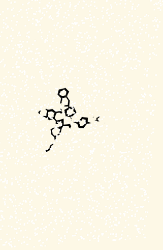 C=CCOC1CCn2c(-c3cc4c(cc3C(=O)N3Cc5ccccc5C[C@H]3C)OCO4)cc(C(=O)N(c3ccccc3)c3ccc(O[Si](C)(C)C(C)(C)C)cc3)c2C1